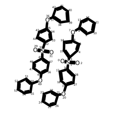 O=S(=O)(c1ccc(Oc2ccccc2)cc1)c1ccc(Oc2ccccc2)cc1.O=S(=O)(c1ccc(Oc2ccccc2)cc1)c1ccc(Oc2ccccc2)cc1